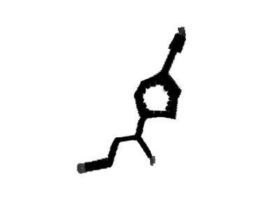 N#Cc1ccc(C(F)CC=O)cc1